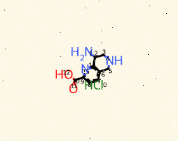 Cl.NC1CNCc2ccc(C(=O)O)nc21